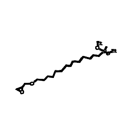 CCO[Si](C)(CCCCCCCCCCCCCCOCC1CO1)OCC